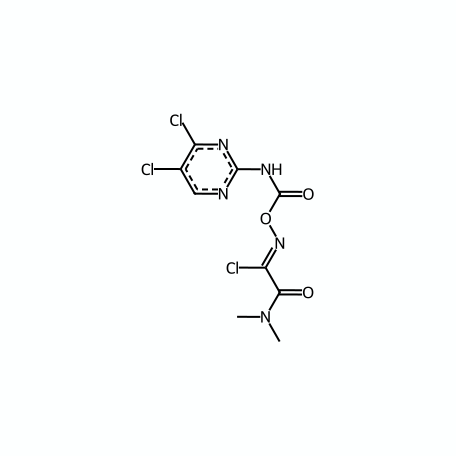 CN(C)C(=O)C(Cl)=NOC(=O)Nc1ncc(Cl)c(Cl)n1